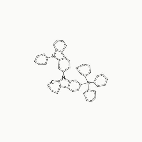 c1ccc(-n2c3ccccc3c3ccc(-n4c5ccccc5c5ccc([Si](c6ccccc6)(c6ccccc6)c6ccccc6)cc54)cc32)cc1